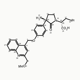 COCc1cc(COc2ccc([C@]3(N)CCN([C@H](CC(C)C)C(=O)O)C3=O)cc2)c2ccccc2n1